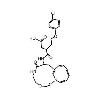 O=C(O)C[C@@H](CCOc1ccc(Cl)cc1)C(=O)NC1Cc2ccccccn(c2)CCOCCNC1=O